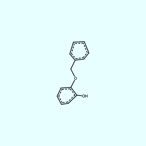 Oc1ccc[c]c1OCc1ccccc1